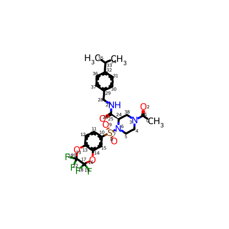 CC(=O)N1CCN(S(=O)(=O)c2ccc3c(c2)OC(F)(F)C(F)(F)O3)[C@@H](C(=O)NCc2ccc(C(C)C)cc2)C1